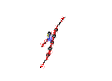 C=CC(=O)OCCCCCCOc1ccc(OC(=O)C2CCC(COc3ccc(OCC4CCC(C(=O)Oc5ccc(OCCCCCCOC(=O)C=C)cc5)CC4)c(/C=N/N(CCOCCOC(=O)C=C)c4nc5ccccc5s4)c3)CC2)cc1